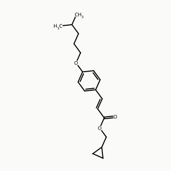 CC(C)CCCOc1ccc(C=CC(=O)OCC2CC2)cc1